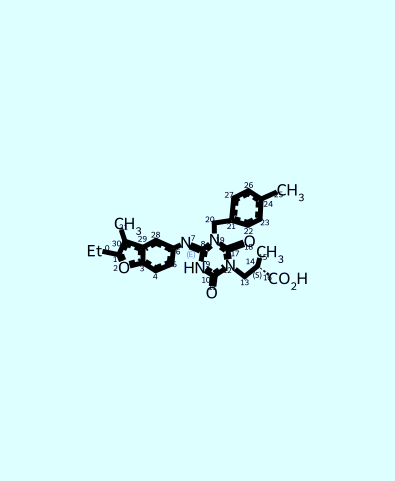 CCc1oc2ccc(/N=c3\[nH]c(=O)n(C[C@H](C)C(=O)O)c(=O)n3Cc3ccc(C)cc3)cc2c1C